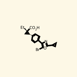 CC[C@]1(C(=O)O)C[C@H]1c1ccc(-c2nc(C3CC3)oc2Br)cc1